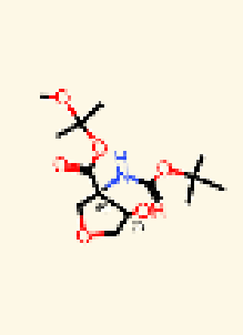 C=C(N[C@]1(C(=O)OC(C)(C)OC)COC[C@@H]1O)OC(C)(C)C